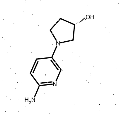 Nc1ccc(N2CC[C@H](O)C2)cn1